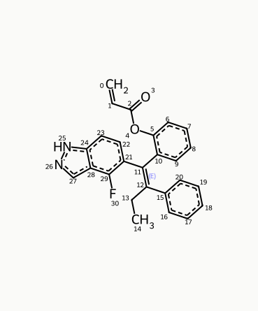 C=CC(=O)Oc1ccccc1/C(=C(/CC)c1ccccc1)c1ccc2[nH]ncc2c1F